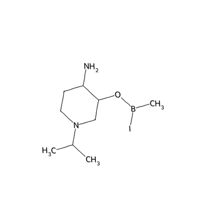 CB(I)OC1CN(C(C)C)CCC1N